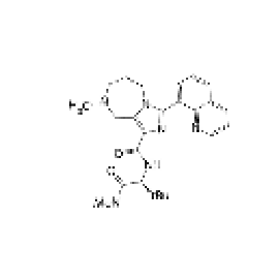 CNC(=O)[C@@H](NC(=O)c1nc(-c2cccc3cccnc23)n2c1CN(C)CCC2)C(C)(C)C